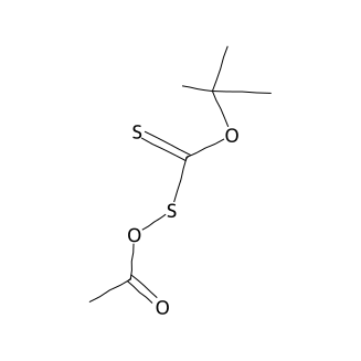 CC(=O)OSC(=S)OC(C)(C)C